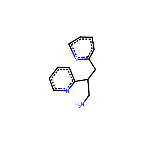 NCC(Cc1ccccn1)c1ccccn1